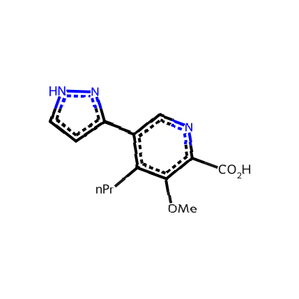 CCCc1c(-c2cc[nH]n2)cnc(C(=O)O)c1OC